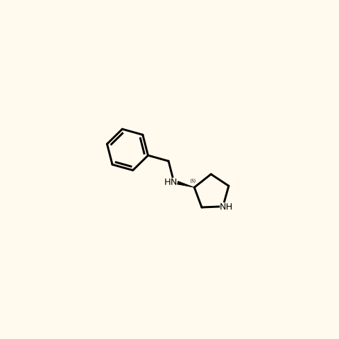 c1ccc(CN[C@H]2CCNC2)cc1